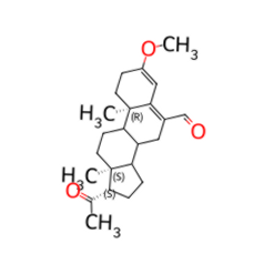 COC1=CC2=C(C=O)CC3C(CC[C@@]4(C)C3CC[C@@H]4C(C)=O)[C@@]2(C)CC1